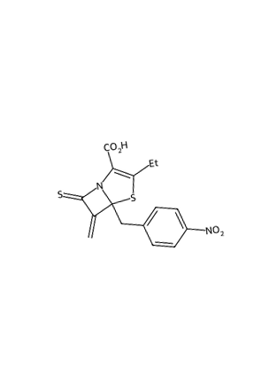 C=C1C(=S)N2C(C(=O)O)=C(CC)SC12Cc1ccc([N+](=O)[O-])cc1